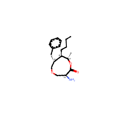 CCCC[C@@H]1[C@@H](Cc2ccccc2)COC[C@H](N)C(=O)O[C@H]1C